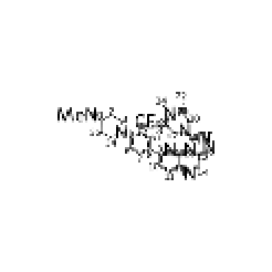 CNC1CCN(c2ccc(-c3ccc4ncc5nnc(N6C[C@@H](C)N(C)[C@@H](C)C6)n5c4n3)cc2C(F)(F)F)CC1